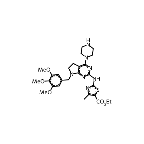 CCOC(=O)c1sc(Nc2nc(N3CCNCC3)c3c(n2)N(Cc2cc(OC)c(OC)c(OC)c2)CC3)nc1C